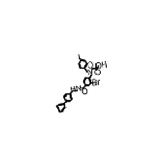 O=C(O)C(=O)N(Cc1ccc(I)cc1)Cc1ccc(C(=O)NCCc2ccc(-c3ccccc3)cc2)cc1Br